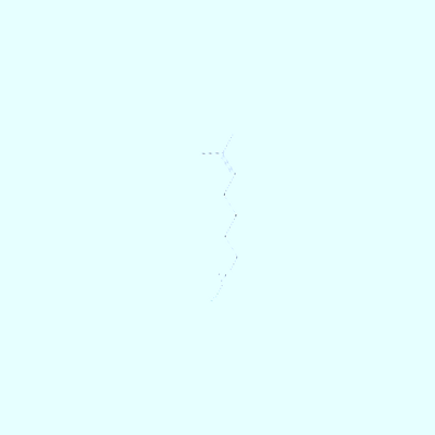 CC(C)=CCCC[CH2][Mg][Br]